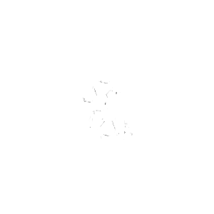 Cc1cc(Br)c2oc3c(c(=O)c2c1)OCc1ccc(C(F)(F)F)cc1-3